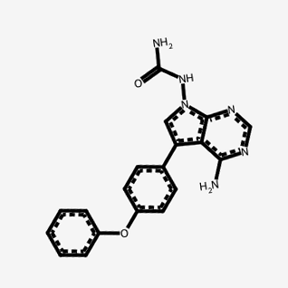 NC(=O)Nn1cc(-c2ccc(Oc3ccccc3)cc2)c2c(N)ncnc21